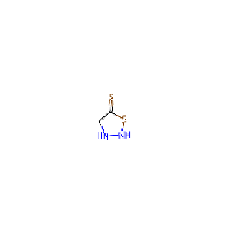 S=C1CNNS1